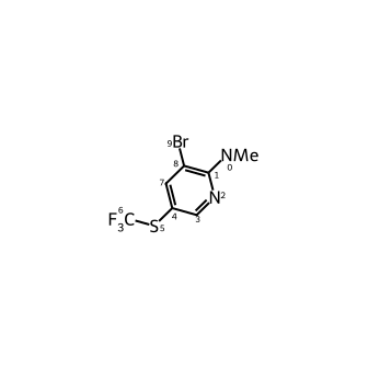 CNc1ncc(SC(F)(F)F)cc1Br